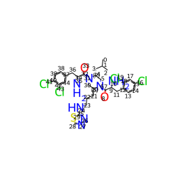 CC(C)C[C@@H]1CN(C(=O)C(N)Cc2ccc(Cl)cc2Cl)[C@@H](CCCNc2nncs2)CN1C(=O)C(N)Cc1ccc(Cl)c(Cl)c1